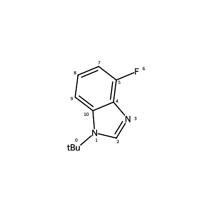 CC(C)(C)n1cnc2c(F)cccc21